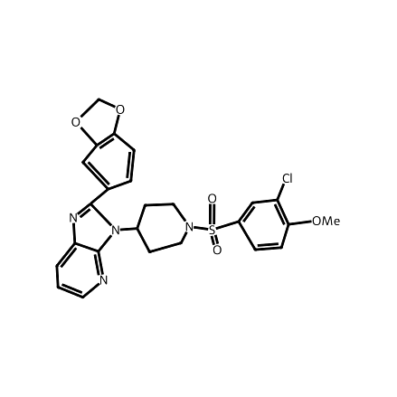 COc1ccc(S(=O)(=O)N2CCC(n3c(-c4ccc5c(c4)OCO5)nc4cccnc43)CC2)cc1Cl